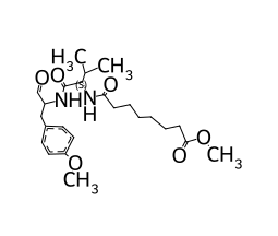 COC(=O)CCCCCCC(=O)N[C@H](C(=O)NC(C=O)Cc1ccc(OC)cc1)C(C)C